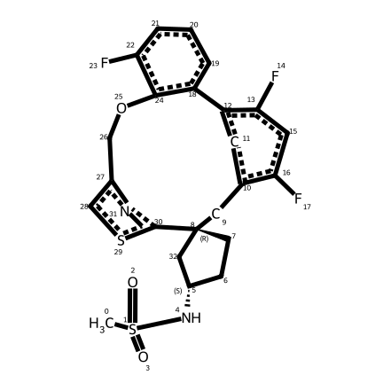 CS(=O)(=O)N[C@H]1CC[C@@]2(Cc3cc(c(F)cc3F)-c3cccc(F)c3OCc3csc2n3)C1